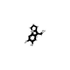 O=Cc1c2n(c3cc(F)c(F)cc13)CCC2